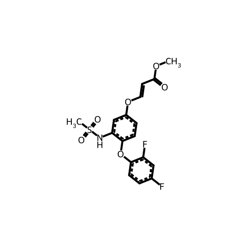 COC(=O)C=COc1ccc(Oc2ccc(F)cc2F)c(NS(C)(=O)=O)c1